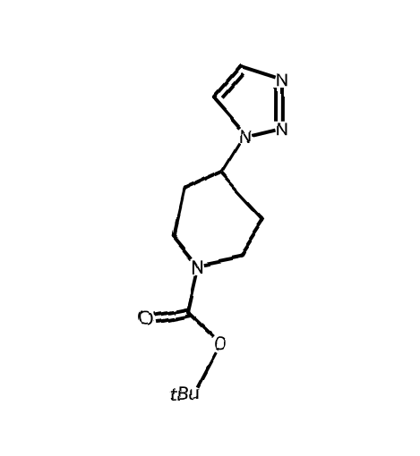 CC(C)(C)OC(=O)N1CCC(n2ccnn2)CC1